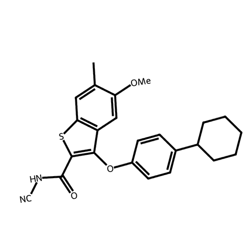 COc1cc2c(Oc3ccc(C4CCCCC4)cc3)c(C(=O)NC#N)sc2cc1C